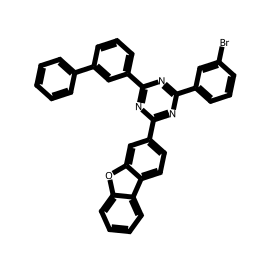 Brc1cccc(-c2nc(-c3cccc(-c4ccccc4)c3)nc(-c3ccc4c(c3)oc3ccccc34)n2)c1